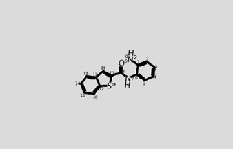 Nc1ccccc1NC(=O)c1cc2ccccc2s1